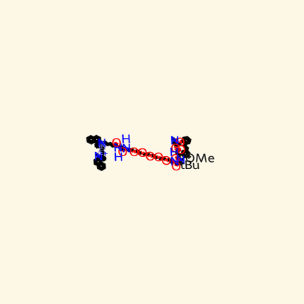 COc1cccc(CCc2ccccc2OCC(CN(C)C)OC(=O)CCC(=O)N(C)C(C(=O)NCCOCCOCCOCCOCCOCCNC(=O)CNC(=O)CCCCN2/C(=C/C=C/C3=[N+](C)c4ccc5ccccc5c4C3(C)C)C(C)(C)c3c2ccc2ccccc32)C(C)(C)C)c1